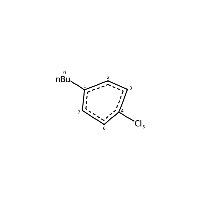 C[CH]CCc1ccc(Cl)cc1